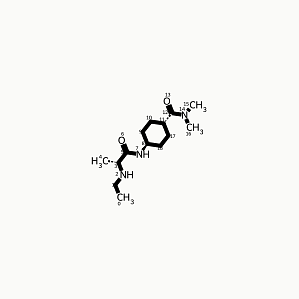 CCN[C@H](C)C(=O)N[C@H]1CC[C@H](C(=O)N(C)C)CC1